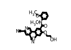 COc1ccccc1N(C)C(=O)c1cc(-c2cnc(C#N)cc2C#N)c(Cl)cc1OCCO